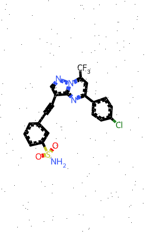 NS(=O)(=O)c1cccc(C#Cc2cnn3c(C(F)(F)F)cc(-c4ccc(Cl)cc4)nc23)c1